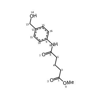 COC(=O)CCCC(=O)Nc1ccc(CO)cc1